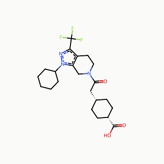 O=C(C[C@H]1CC[C@@H](C(=O)O)CC1)N1CCc2c(C(F)(F)F)nn(C3CCCCC3)c2C1